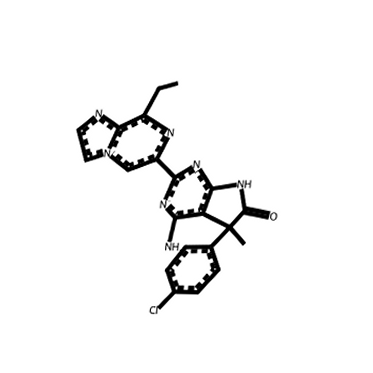 CCc1nc(-c2nc(N)c3c(n2)NC(=O)C3(C)c2ccc(Cl)cc2)cn2ccnc12